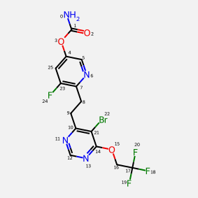 NC(=O)Oc1cnc(CCc2ncnc(OCC(F)(F)F)c2Br)c(F)c1